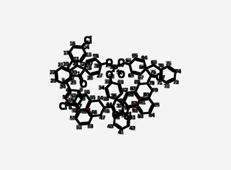 O=C(C(Cc1ccccc1)Cc1ccc(Cl)cc1)C1(Cc2ccccc2)C=CC(OP(=O)(OC2C=CC(Cc3ccccc3)(C(=O)C(Cc3ccccc3)Cc3ccc(Cl)cc3)C=C2)OC2C=CC(Cc3ccccc3)(C(=O)C(Cc3ccccc3)Cc3ccc(Cl)cc3)C=C2)C=C1